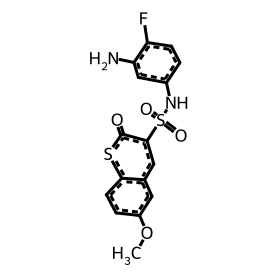 COc1ccc2sc(=O)c(S(=O)(=O)Nc3ccc(F)c(N)c3)cc2c1